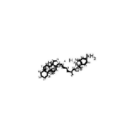 CC(CCC[C@@H](C)[C@H]1CC[C@H]2[C@@H]3CCC4CCCC[C@]4(C)[C@H]3CC[C@]12C)COC(F)(F)c1ccc(N)cc1N